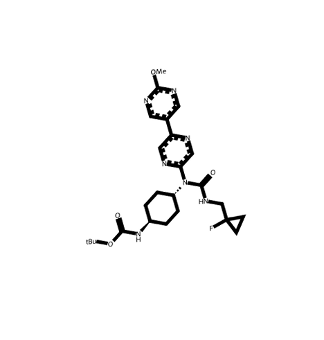 COc1ncc(-c2cnc(N(C(=O)NCC3(F)CC3)[C@H]3CC[C@H](NC(=O)OC(C)(C)C)CC3)cn2)cn1